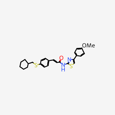 COc1ccc(-c2csc(NC(=O)/C=C/c3ccc(SCC4CCCCC4)cc3)n2)cc1